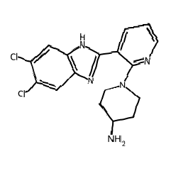 NC1CCN(c2ncccc2-c2nc3cc(Cl)c(Cl)cc3[nH]2)CC1